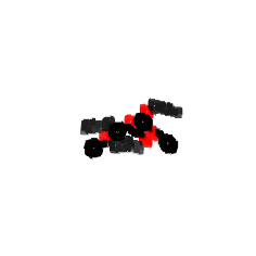 COCOc1cc(OCc2ccccc2)c2c(c1)OC(c1cc(OC)c(OCc3ccccc3)c(OC)c1)CC2=O